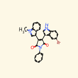 Cn1cc(C2=C(c3c[nH]c4ccc(Br)cc34)C(=O)N(c3ccccc3)C2=O)c2ccccc21